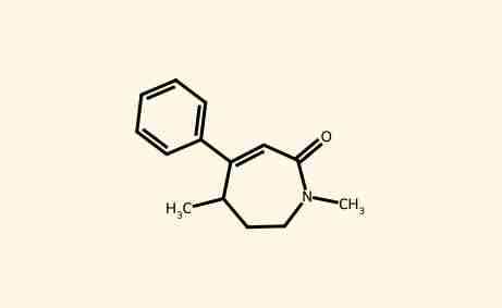 CC1CCN(C)C(=O)C=C1c1ccccc1